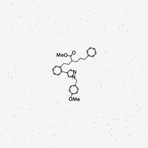 COC(=O)C(CCCc1ccccc1)CCc1ccccc1-c1cnn(Cc2ccc(OC)cc2)c1